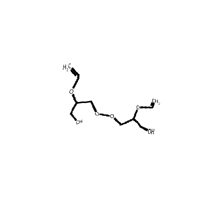 C=COC(CO)COOCC(CO)OC=C